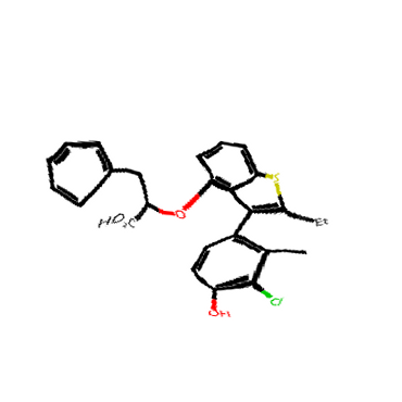 CCc1sc2cccc(OC(Cc3ccccc3)C(=O)O)c2c1-c1ccc(O)c(Cl)c1C